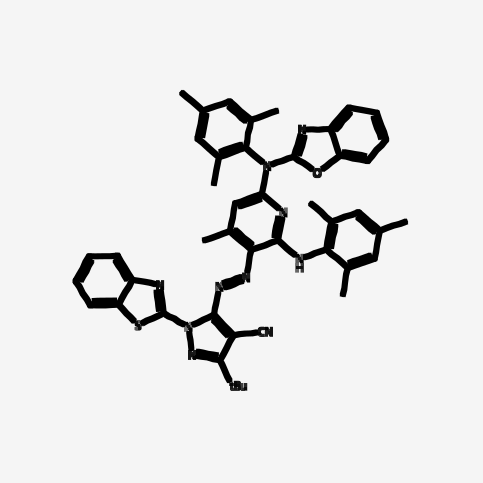 Cc1cc(C)c(Nc2nc(N(c3nc4ccccc4o3)c3c(C)cc(C)cc3C)cc(C)c2N=Nc2c(C#N)c(C(C)(C)C)nn2-c2nc3ccccc3s2)c(C)c1